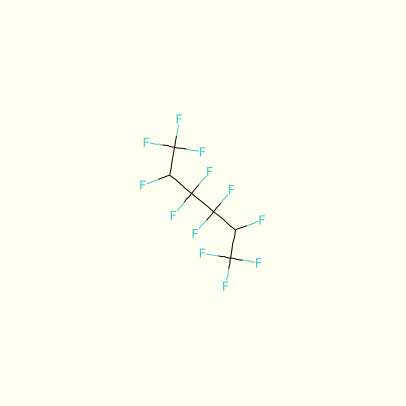 FC(C(F)(F)F)C(F)(F)C(F)(F)C(F)C(F)(F)F